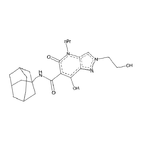 CCCn1c(=O)c(C(=O)NC23CC4CC(CC(C4)C2)C3)c(O)c2nn(CCO)cc21